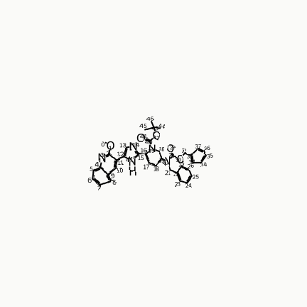 COc1nc2ccccc2cc1-c1cnc([C@@H]2CC[C@H](N(Cc3ccccc3)C(=O)OCc3ccccc3)CN2C(=O)OC(C)(C)C)[nH]1